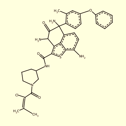 CC(C)=C(Cl)C(=O)N1CCCC(NC(=O)c2sc3c(N)ccc4c3c2C(N)C(=O)C4(N)c2ccc(Oc3ccccc3)cc2C)C1